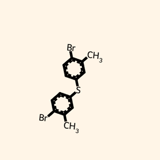 Cc1cc(Sc2ccc(Br)c(C)c2)ccc1Br